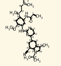 C=CC(=O)Nc1cc(Nc2nccc(-c3cc(C#N)c4c(c3)c(C)cn4C(C)C)n2)c(OC)cc1N(C)CCN(C)C